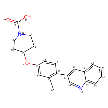 Cc1cc(OC2CCN(C(=O)O)CC2)ccc1-c1cnc2ccccc2c1